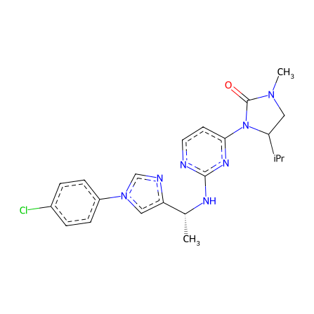 CC(C)C1CN(C)C(=O)N1c1ccnc(N[C@H](C)c2cn(-c3ccc(Cl)cc3)cn2)n1